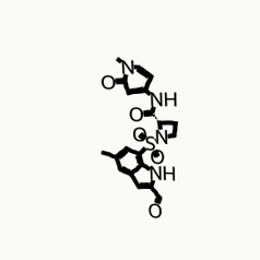 Cc1cc(S(=O)(=O)N2CC[C@H]2C(=O)Nc2ccn(C)c(=O)c2)c2[nH]c(C=O)cc2c1